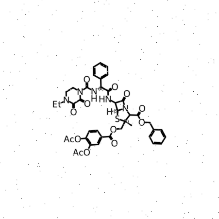 CCN1CCN(C(=O)N[C@@H](C(=O)NC2C(=O)N3C(C(=O)OCc4ccccc4)[C@](C)(COC(=O)c4ccc(OC(C)=O)c(OC(C)=O)c4)S[C@@H]23)c2ccccc2)C(=O)C1=O